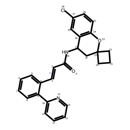 O=C(/C=C/c1ccccc1-c1ccccn1)NC1CC2(CCC2)Oc2ccc(Cl)cc21